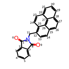 O=C1c2ccccc2C(=O)N1Cc1ccc2ccc3cccc4ccc1c2c34